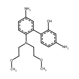 COCCN(CCOC)c1ccc(N)cc1-c1ccc(N)cc1O